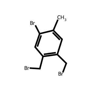 Cc1cc(CBr)c(CBr)cc1Br